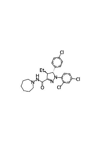 CC[C@@H]1C(C(=O)NN2CCCCCC2)=NN(c2ccc(Cl)cc2Cl)[C@H]1c1ccc(Cl)cc1